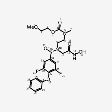 COCCOC(=O)N(C)CCN(CC(=O)NO)[S+]([O-])c1cc(F)c(Oc2ccccc2)c(F)c1